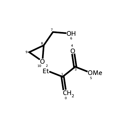 C=C(CC)C(=O)OC.OCC1CO1